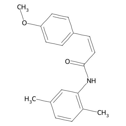 COc1ccc(/C=C\C(=O)Nc2cc(C)ccc2C)cc1